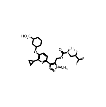 CN(CC(F)C(F)F)C(=O)OCc1c(-c2ccc(OC3CCCC(C(=O)O)C3)c(C3CC3)n2)nnn1C